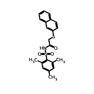 Cc1cc(C)c(S(=O)(=O)NC(=O)CSc2ccc3ccccc3c2)c(C)c1